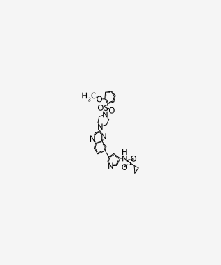 COc1ccccc1S(=O)(=O)N1CCN(c2cnc3ccc(-c4cncc(NS(=O)(=O)C5CC5)c4)cc3n2)CC1